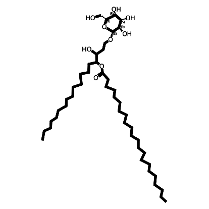 CCCCCCCCCCCCCCCCCCCCCC(=O)OC(CCCCCCCCCCCCCC)C(O)CCO[C@H]1O[C@H](CO)[C@H](O)[C@H](O)[C@H]1O